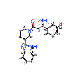 N[C@@H](CC(=O)N1CCCC(c2nc3ccccc3[nH]2)C1)c1cccc(Br)c1